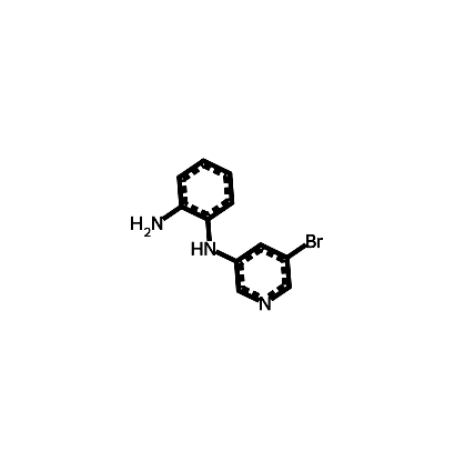 Nc1ccccc1Nc1cncc(Br)c1